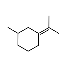 CC(C)=C1CCCC(C)C1